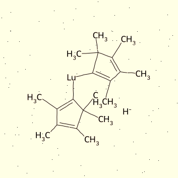 CC1=C(C)C(C)(C)[C]([Lu][C]2=C(C)C(C)=C(C)C2(C)C)=C1C.[H-]